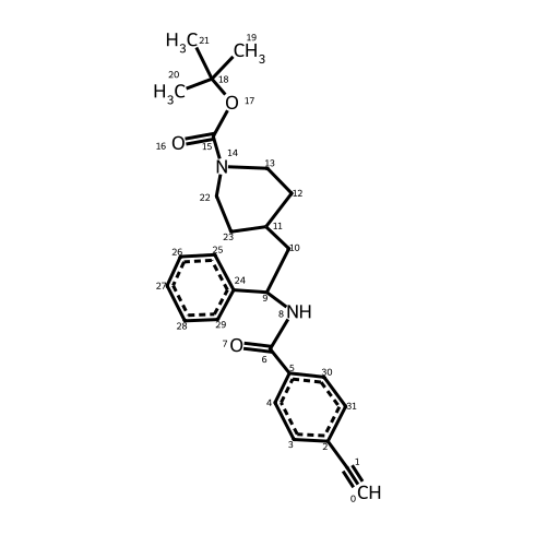 C#Cc1ccc(C(=O)NC(CC2CCN(C(=O)OC(C)(C)C)CC2)c2ccccc2)cc1